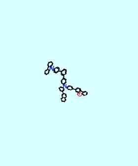 c1cc(-c2ccc(N(c3ccc(-c4ccc5c(c4)oc4ccccc45)cc3)c3cccc(-c4ccc5ccccc5c4)c3)cc2)cc(-c2ccc(-n3c4ccccc4c4ccccc43)cc2)c1